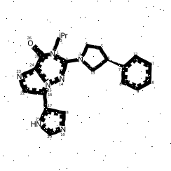 CC(C)n1c(N2CC[C@@H](c3ccccc3)C2)nn2c(-c3cnc[nH]3)cnc2c1=O